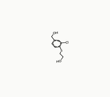 OCCSc1ccc(CO)cc1Cl